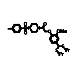 COc1cc(C(SC(C)C)SC(C)C)ccc1OCC(=O)N1CCN(S(=O)(=O)c2ccc(C)cc2)CC1